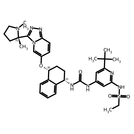 CCS(=O)(=O)Nc1cc(NC(=O)N[C@H]2CC[C@@H](Oc3ccc4nnc([C@]5(C)CCCN5C)n4c3)c3ccccc32)cc(C(C)(C)C)n1